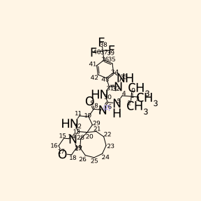 CC(C)(C)CN/C(=N/C(=O)C1CNC(N2CCOCC2)C2(CCCCCCCC2)C1)Nc1n[nH]c2cc(C(F)(F)F)ccc12